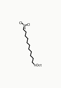 CCCCCCCCCCCCCCCCCCC[SiH](Cl)Cl